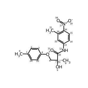 Cc1ccc(OC[C@](C)(O)C(=O)Nc2ccc([N+](=O)[O-])c(C)c2)cc1